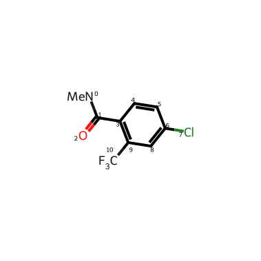 CNC(=O)c1ccc(Cl)cc1C(F)(F)F